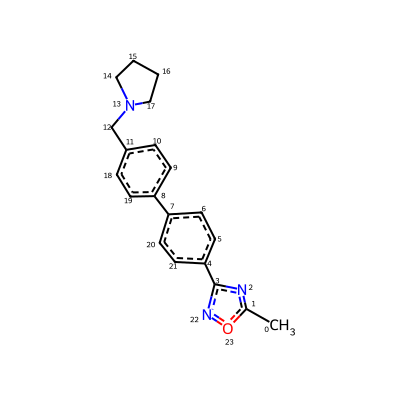 Cc1nc(-c2ccc(-c3ccc(CN4CCCC4)cc3)cc2)no1